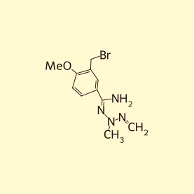 C=NN(C)/N=C(\N)c1ccc(OC)c(CBr)c1